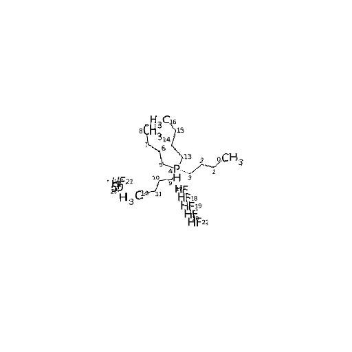 CCCC[PH](CCCC)(CCCC)CCCC.F.F.F.F.F.F.[Sb]